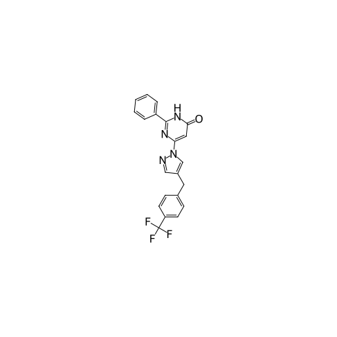 O=c1cc(-n2cc(Cc3ccc(C(F)(F)F)cc3)cn2)nc(-c2ccccc2)[nH]1